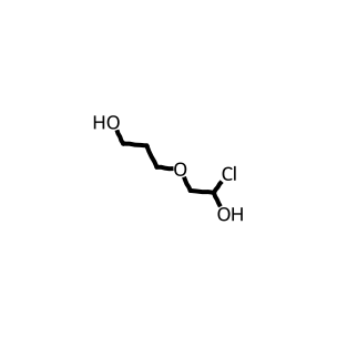 OCCCOCC(O)Cl